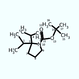 CC(C)C1(C(C)C)CCCN1C(=O)OC(C)(C)C